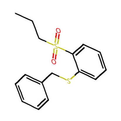 CCCS(=O)(=O)c1ccccc1SCc1ccccc1